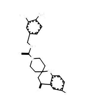 Nc1ccc(CNC(=O)N2CCC3(CC2)CC(=O)c2cc(F)ccc2N3)cc1C(F)(F)F